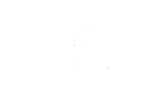 CNCCCn1c(-c2ccc(OC)cc2)cc2c1CCCCC2.O=C(O)C(=O)O